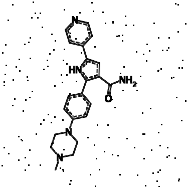 CN1CCN(c2ccc(-c3[nH]c(-c4ccncc4)cc3C(N)=O)cc2)CC1